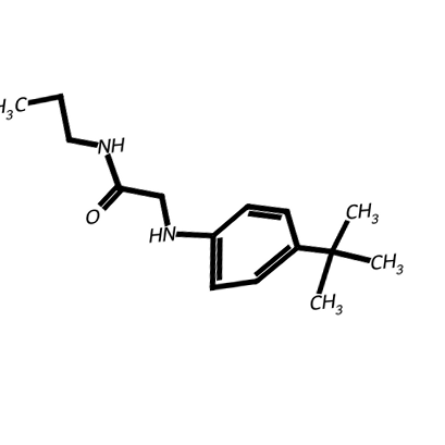 CCCNC(=O)CNc1ccc(C(C)(C)C)cc1